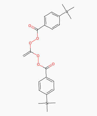 C=C(OOC(=O)c1ccc([Si](C)(C)C)cc1)OOC(=O)c1ccc([Si](C)(C)C)cc1